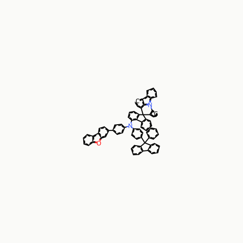 c1ccc(C2(c3ccc(N(c4ccc(-c5ccc6c(c5)oc5ccccc56)cc4)c4cccc5c4-c4ccccc4C54c5ccccc5-n5c6ccccc6c6cccc4c65)cc3)c3ccccc3-c3ccccc32)cc1